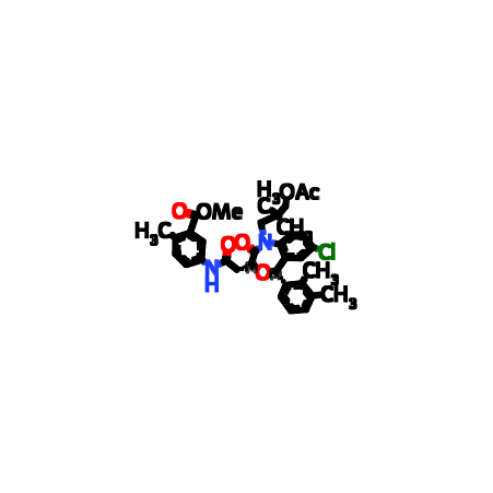 COC(=O)c1cc(NC(=O)C[C@H]2O[C@@H](c3cccc(C)c3C)c3cc(Cl)ccc3N(CC(C)(C)COC(C)=O)C2=O)ccc1C